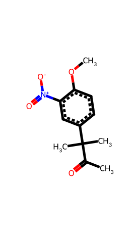 COc1ccc(C(C)(C)C(C)=O)cc1[N+](=O)[O-]